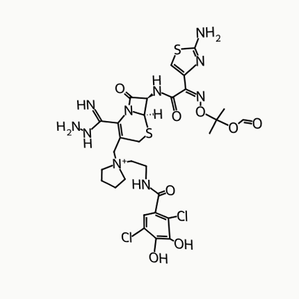 CC(C)(OC=O)O/N=C(\C(=O)N[C@@H]1C(=O)N2C(C(=N)NN)=C(C[N+]3(CCNC(=O)c4cc(Cl)c(O)c(O)c4Cl)CCCC3)CS[C@H]12)c1csc(N)n1